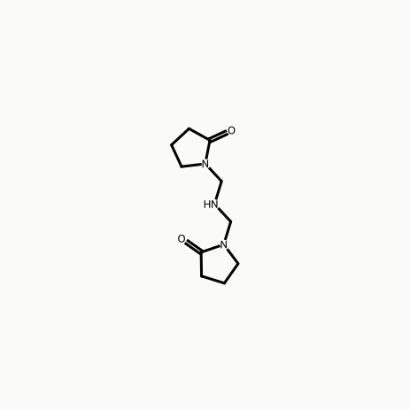 O=C1CCCN1CNCN1CCCC1=O